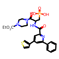 CCOC(=O)N1CCN(C(=O)C(CP(=O)(O)O)NC(=O)c2cc(-c3ccsc3)cc(-c3ccccc3)n2)CC1